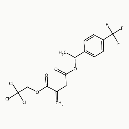 C=C(CC(=O)OC(C)c1ccc(C(F)(F)F)cc1)C(=O)OCC(Cl)(Cl)Cl